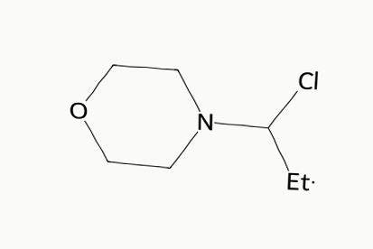 C[CH]C(Cl)N1CCOCC1